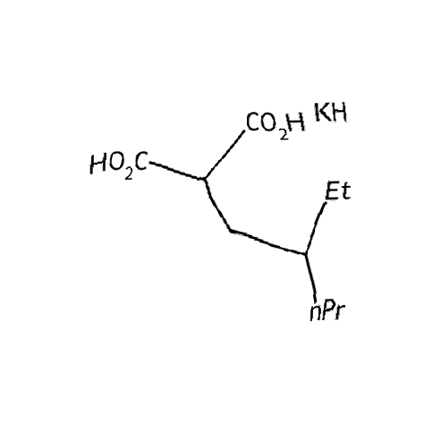 CCCC(CC)CC(C(=O)O)C(=O)O.[KH]